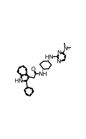 CN(C)c1ccnc(N[C@H]2CC[C@@H](NC(=O)Cc3c(-c4ccccc4)[nH]c4ccccc34)CC2)n1